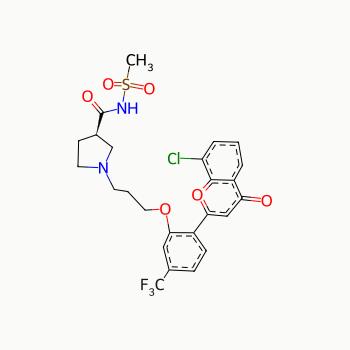 CS(=O)(=O)NC(=O)[C@@H]1CCN(CCCOc2cc(C(F)(F)F)ccc2-c2cc(=O)c3cccc(Cl)c3o2)C1